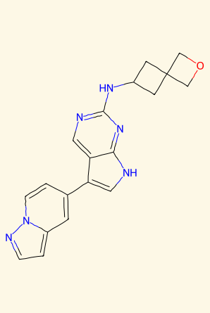 c1cc2cc(-c3c[nH]c4nc(NC5CC6(COC6)C5)ncc34)ccn2n1